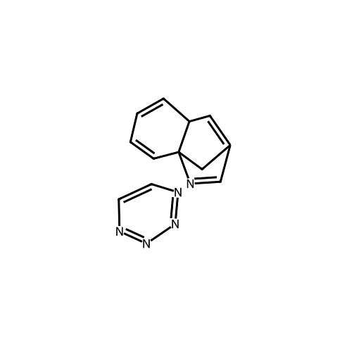 C1=CC2C=C3C=NC2(C=C1)C3.c1cnnnn1